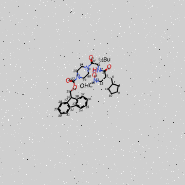 CC(C)(C)[C@H](NC(=O)[C@H](CC1CCCC1)CN(O)C=O)C(=O)N1CCN(C(=O)OCC2c3ccccc3-c3ccccc32)CC1